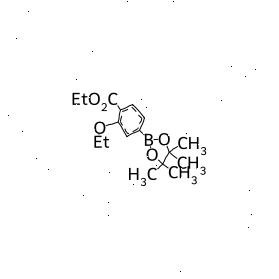 CCOC(=O)c1ccc(B2OC(C)(C)C(C)(C)O2)cc1OCC